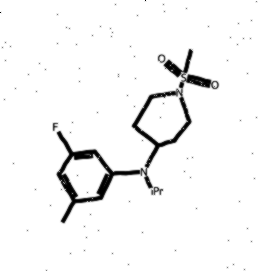 Cc1cc(F)cc(N(C(C)C)C2CCN(S(C)(=O)=O)CC2)c1